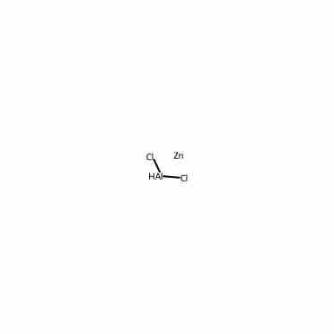 [Cl][AlH][Cl].[Zn]